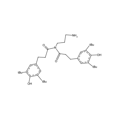 CC(C)(C)c1cc(CCC(=O)N(CCCN)C(=O)CCc2cc(C(C)(C)C)c(O)c(C(C)(C)C)c2)cc(C(C)(C)C)c1O